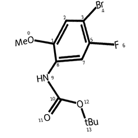 COc1cc(Br)c(F)cc1NC(=O)OC(C)(C)C